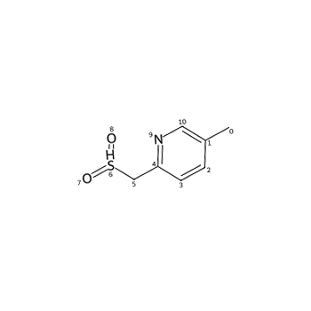 Cc1ccc(C[SH](=O)=O)nc1